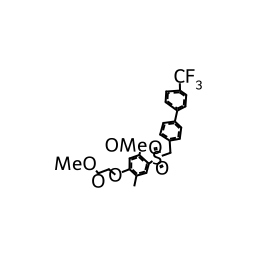 COC(=O)COc1cc(OC)c(S(=O)(=O)Cc2ccc(-c3ccc(C(F)(F)F)cc3)cc2)cc1C